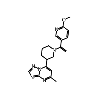 C=C(c1ccc(OC)nc1)N1CCCC(c2cc(C)nc3ncnn23)C1